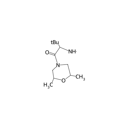 CC1CN(C(=O)C([NH])C(C)(C)C)CC(C)O1